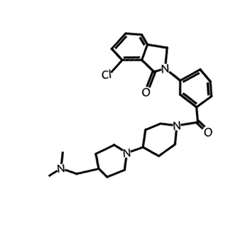 CN(C)CC1CCN(C2CCN(C(=O)c3cccc(N4Cc5cccc(Cl)c5C4=O)c3)CC2)CC1